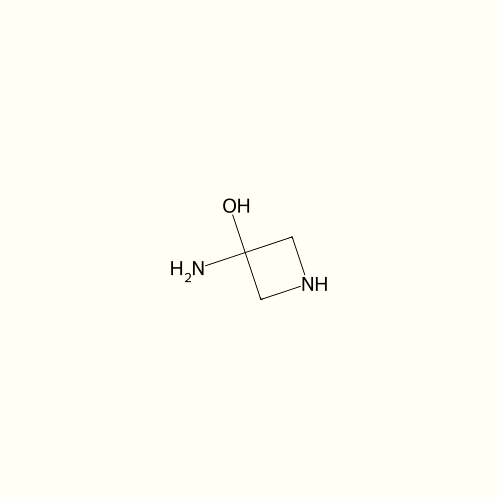 NC1(O)CNC1